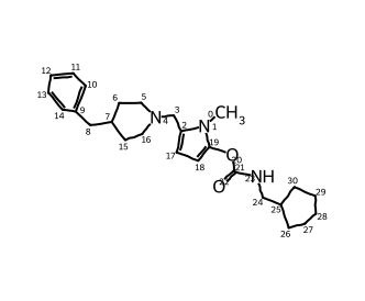 Cn1c(CN2CCC(Cc3ccccc3)CC2)ccc1OC(=O)NCC1CCCCC1